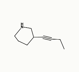 CCC#CC1CCCNC1